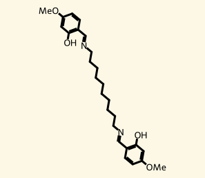 COc1ccc(C=NCCCCCCCCCCN=Cc2ccc(OC)cc2O)c(O)c1